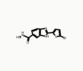 O=C(NO)c1ccc2nc(-c3ccc(Br)s3)[nH]c2c1